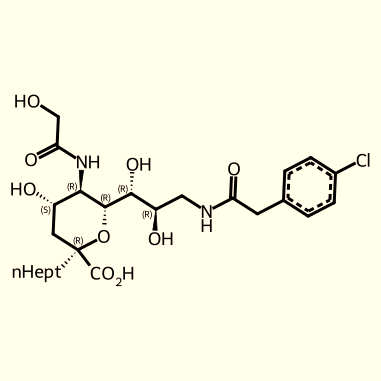 CCCCCCC[C@]1(C(=O)O)C[C@H](O)[C@@H](NC(=O)CO)[C@H]([C@H](O)[C@H](O)CNC(=O)Cc2ccc(Cl)cc2)O1